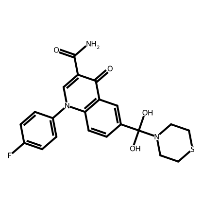 NC(=O)c1cn(-c2ccc(F)cc2)c2ccc(C(O)(O)N3CCSCC3)cc2c1=O